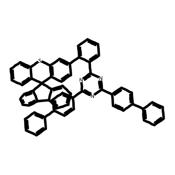 c1ccc(-c2ccc(-c3nc(-c4ccc(-c5ccccc5)cc4)nc(-c4ccccc4-c4ccc5c(c4)Sc4ccccc4C54c5ccccc5-c5ccccc54)n3)cc2)cc1